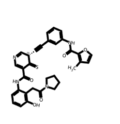 Cc1ccoc1C(=O)Nc1cccc(C#C[C@H]2C=NC=C(C(=O)Nc3cccc(O)c3CC(=O)N3CCCC3)C2=S)c1